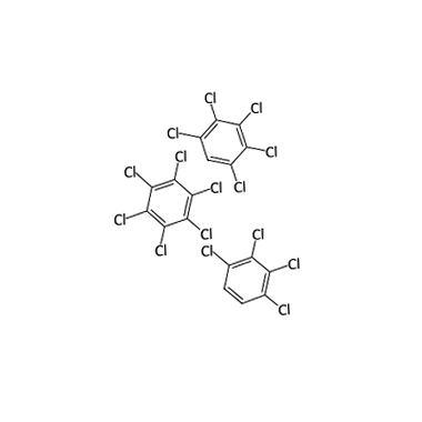 Clc1c(Cl)c(Cl)c(Cl)c(Cl)c1Cl.Clc1cc(Cl)c(Cl)c(Cl)c1Cl.Clc1ccc(Cl)c(Cl)c1Cl